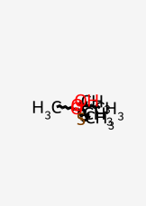 CC=CC=CC(C)=C(C(=O)O)c1cc2c(cc1OCCCCCCC)SCCC2(C)C